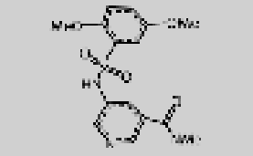 CNC(=O)c1cncc(NS(=O)(=O)c2cc(OC)ccc2OC)c1